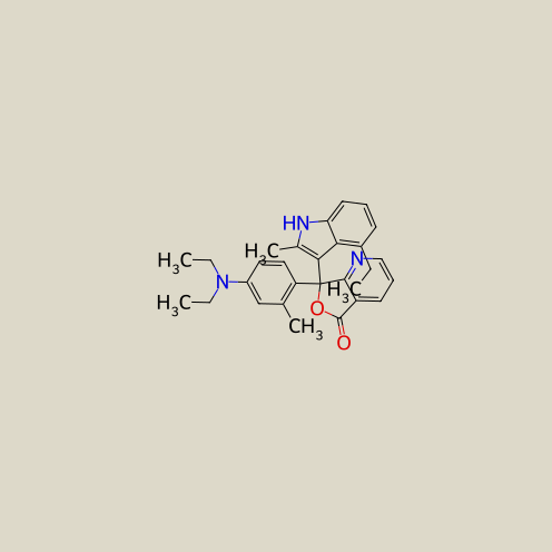 CCc1cccc2[nH]c(C)c(C3(c4ccc(N(CC)CC)cc4C)OC(=O)c4cccnc43)c12